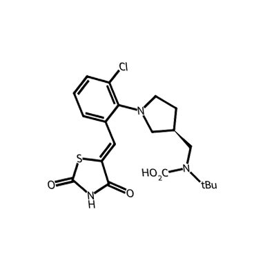 CC(C)(C)N(C[C@@H]1CCN(c2c(Cl)cccc2/C=C2\SC(=O)NC2=O)C1)C(=O)O